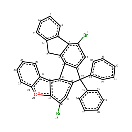 Brc1cc2c(c3c1-c1ccccc1C3)-c1c(cc(Br)c3oc4ccccc4c13)C2(c1ccccc1)c1ccccc1